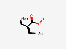 CCCCCCCCC=C(CCCCCCCCCC)C(=O)OO